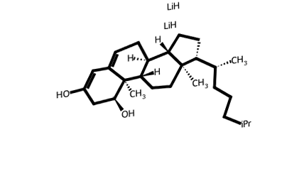 CC(C)CCC[C@@H](C)[C@H]1CC[C@H]2[C@@H]3CC=C4C=C(O)C[C@H](O)[C@]4(C)[C@H]3CC[C@]12C.[LiH].[LiH]